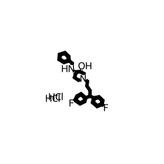 Cl.Cl.O[C@@H]1CN(CCCC(c2ccc(F)cc2)c2ccc(F)cc2)CC[C@H]1NCc1ccccc1